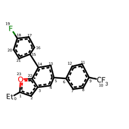 CCc1cc2cc(-c3ccc(C(F)(F)F)cc3)cc(-c3ccc(F)cc3)c2o1